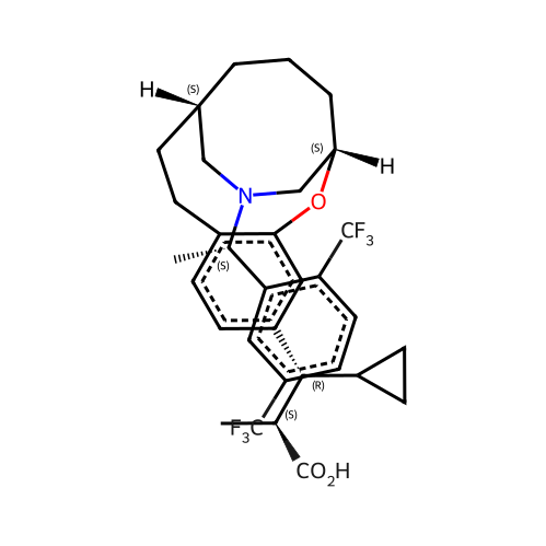 C[C@H](C(=O)O)[C@H](c1ccc2c(c1)O[C@H]1CCC[C@@H](CC2)CN([C@@H](C)c2cc(C(F)(F)F)ccc2C(F)(F)F)C1)C1CC1